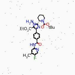 CCOC(=O)c1c(-c2ccc(C(=O)Nc3cc(C)c(F)cn3)cc2)nc([C@@H]2CCCCN2C(=O)OC(C)(C)C)n1N